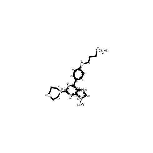 CCOC(=O)CCCOc1ccc(-c2nc(N3CCOCC3)nc3c2ncn3C(C)C)cc1